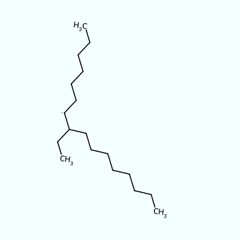 CCCCCC[CH]C(CC)CCCCCCCC